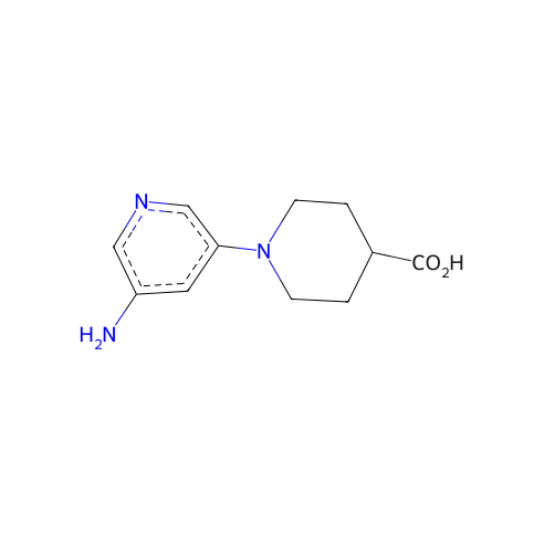 Nc1cncc(N2CCC(C(=O)O)CC2)c1